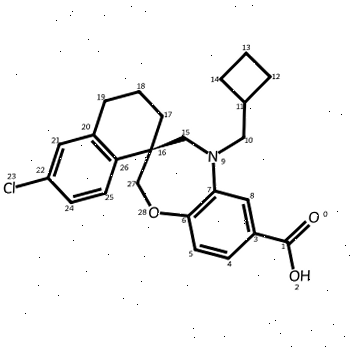 O=C(O)c1ccc2c(c1)N(CC1CCC1)C[C@@]1(CCCc3cc(Cl)ccc31)CO2